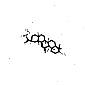 CCON(C(=O)[C@@]1(C)CC[C@]2(C)CC[C@]3(C)C(=CC(=O)[C@@H]4[C@@]5(C)CC[C@H](N)C(C)(C)C5CC[C@]43C)[C@@H]2C1)C(F)(F)F